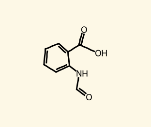 O=CNc1ccccc1C(=O)O